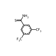 NC(=S)c1cc(C(F)(F)F)cc(C(F)(F)F)c1